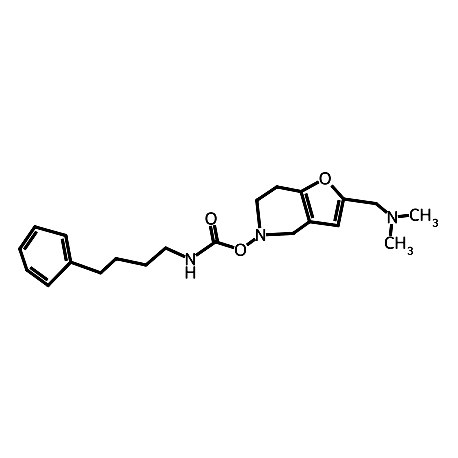 CN(C)Cc1cc2c(o1)CCN(OC(=O)NCCCCc1ccccc1)C2